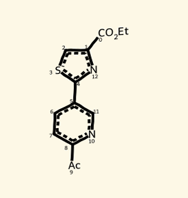 CCOC(=O)c1csc(-c2ccc(C(C)=O)nc2)n1